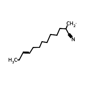 [CH2]C(C#N)CCCCCCCC=CCC